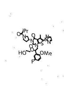 COc1ccc(F)cc1C(Cn1c(=O)n([C@@H]2CCN(C(=O)C(C)C)C2)c(=O)c2c(C)c(-n3nccn3)sc21)OCCO